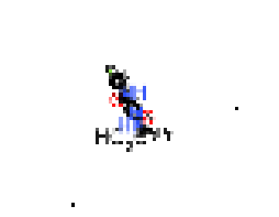 CC(C)C[C@H](NC(=O)N1CCC(C(=O)Nc2ccc(F)cc2)CC1)C(=O)O